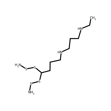 CCNCCCNCCCC(SSN)SSN